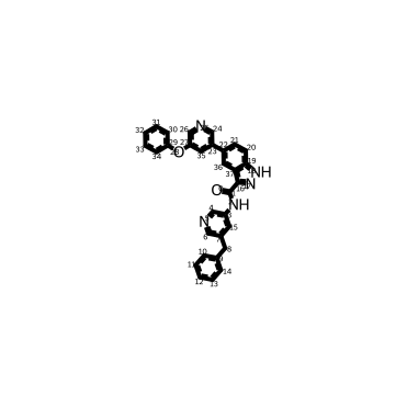 O=C(Nc1cncc(Cc2ccccc2)c1)c1n[nH]c2ccc(-c3cncc(Oc4ccccc4)c3)cc12